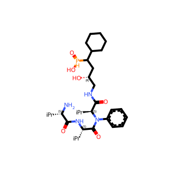 CC(C)[C@H](N)C(=O)N[C@H](C(=O)N(c1ccccc1)[C@H](C(=O)NC[C@H](O)CC(C1CCCCC1)[PH](=O)O)C(C)C)C(C)C